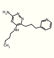 CCCCNc1nc(N)nnc1CCCc1cccnc1